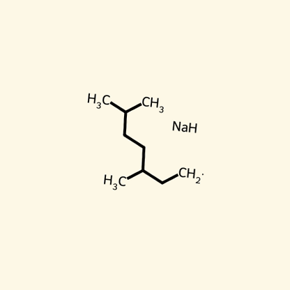 [CH2]CC(C)CCC(C)C.[NaH]